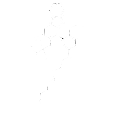 COc1ccc(OCCCNCCCF)cc1[C@@H]1c2[nH]c3ccccc3c2C[C@@H](C)N1CC(F)(F)CO